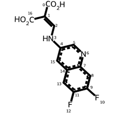 O=C(O)C(=CNc1cnc2cc(F)c(F)cc2c1)C(=O)O